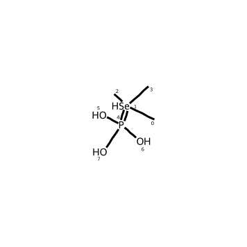 C[SeH](C)(C)=P(O)(O)O